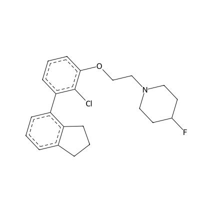 FC1CCN(CCOc2cccc(-c3cccc4c3CCC4)c2Cl)CC1